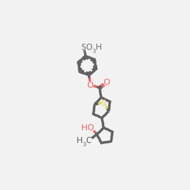 CC1(O)CCCC1C1CC2SC1CC2C(=O)Oc1ccc(S(=O)(=O)O)cc1